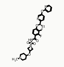 CC[C@@H](Oc1ccc(C(=O)NS(=O)(=O)N2CC(OC3CCN(C)CC3)C2)c(F)c1F)c1ccc(Oc2ccccn2)cn1